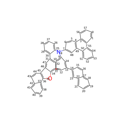 c1ccc(-c2ccc(N(c3cccc(-c4ccc5ccccc5c4)c3)c3ccccc3-c3ccc4oc5c6ccccc6ccc5c4c3)cc2-c2ccccc2)cc1